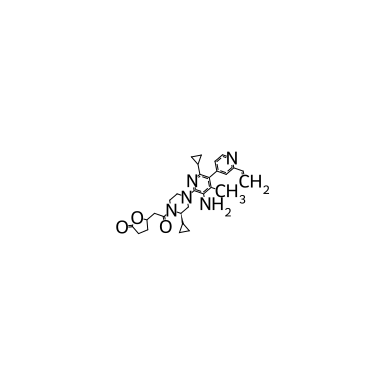 C=Cc1cc(-c2c(C3CC3)nc(N3CCN(C(=O)CC4CCC(=O)O4)[C@H](C4CC4)C3)c(N)c2C)ccn1